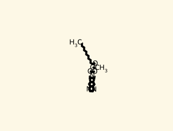 CCCCCCCCCCCC(=O)OC(C)OC(=O)N1CC2CC(C1)c1cc3nccnc3cc12